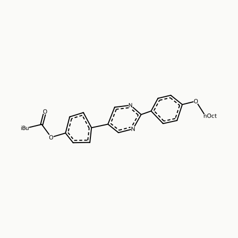 CCCCCCCCOc1ccc(-c2ncc(-c3ccc(OC(=O)C(C)CC)cc3)cn2)cc1